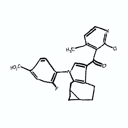 Cc1ccnc(Cl)c1C(=O)c1cn(-c2ccc(C(=O)O)cc2F)c2c1CCC1CC21